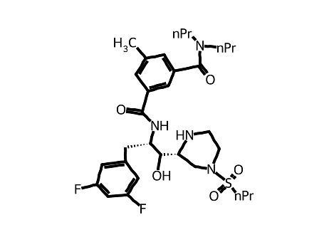 CCCN(CCC)C(=O)c1cc(C)cc(C(=O)N[C@@H](Cc2cc(F)cc(F)c2)C(O)[C@H]2CN(S(=O)(=O)CCC)CCN2)c1